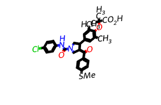 CSc1ccc(C(=O)C2CN(C(=O)Nc3ccc(Cl)cc3)CC2c2cc(C)c(OC(C)(C)C(=O)O)c(C)c2)cc1